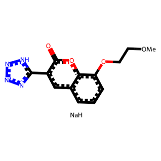 COCCOc1cccc2cc(-c3nnn[nH]3)c(=O)oc12.[NaH]